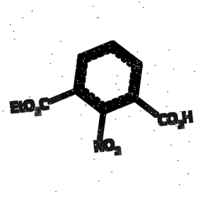 CCOC(=O)c1cccc(C(=O)O)c1[N+](=O)[O-]